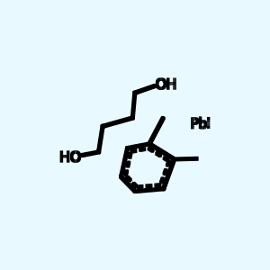 Cc1ccccc1C.OCCCCO.[Pb]